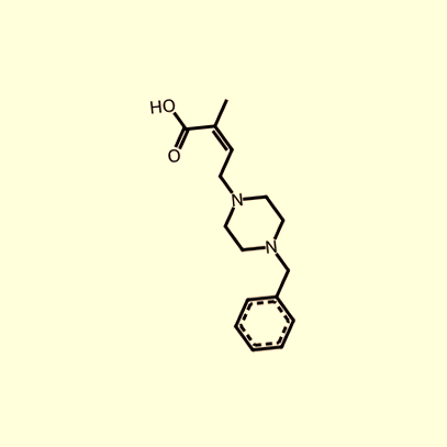 CC(=CCN1CCN(Cc2ccccc2)CC1)C(=O)O